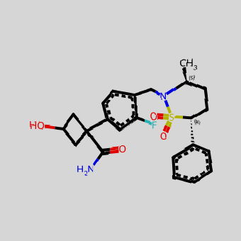 C[C@H]1CC[C@H](c2ccccc2)S(=O)(=O)N1Cc1ccc(C2(C(N)=O)CC(O)C2)cc1F